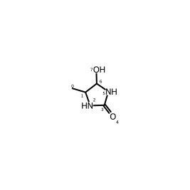 CC1NC(=O)NC1O